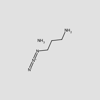 N.[N-]=[N+]=NCCCN